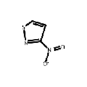 O=[N+]([O-])c1ccsn1